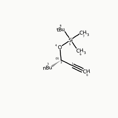 C#C[C@H](CCCC)O[Si](C)(C)C(C)(C)C